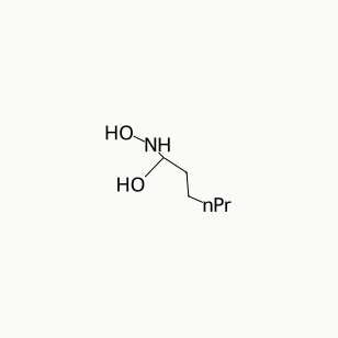 CCCCCC(O)NO